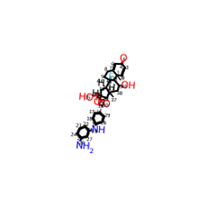 C[C@]12C=CC(=O)C=C1CC[C@H]1[C@@H]3C[C@H]4O[C@@H](c5ccc(Nc6cccc(N)c6)cc5)O[C@@]4(C(=O)CO)[C@@]3(C)C[C@H](O)[C@@]12F